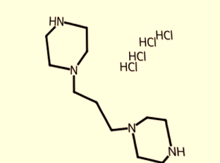 C(CN1CCNCC1)CN1CCNCC1.Cl.Cl.Cl.Cl